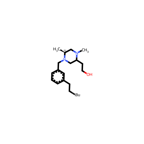 CCC(C)CCc1cccc(CN2CC(CCO)N(C)C[C@@H]2C)c1